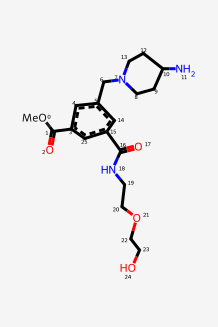 COC(=O)c1cc(CN2CCC(N)CC2)cc(C(=O)NCCOCCO)c1